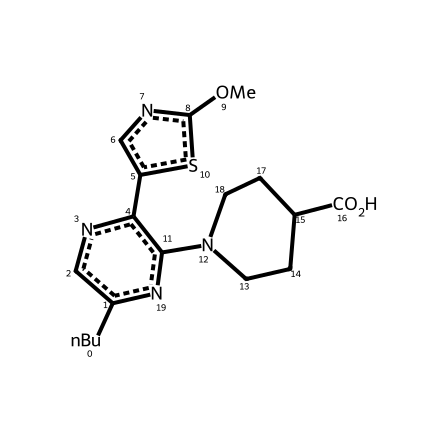 CCCCc1cnc(-c2cnc(OC)s2)c(N2CCC(C(=O)O)CC2)n1